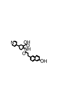 O=C(CCc1ccc2cc(O)ccc2c1)NC1=C(C(=O)O)CC(c2ccncc2)CC1